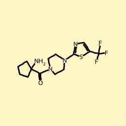 NC1(C(=O)N2CCN(c3ncc(C(F)(F)F)s3)CC2)CCCC1